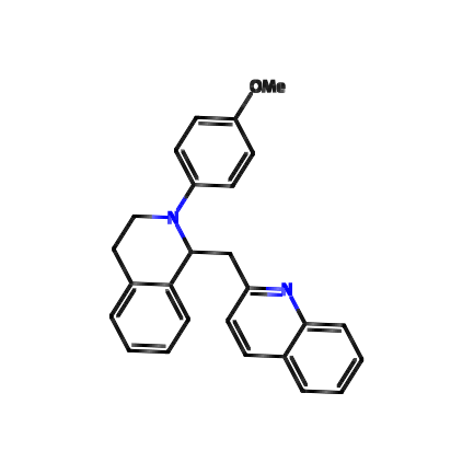 COc1ccc(N2CCc3ccccc3C2Cc2ccc3ccccc3n2)cc1